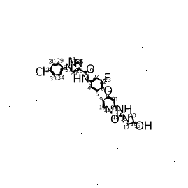 O=C(Nc1ccc(Oc2ccnc(NC(=O)N3CC(O)C3)c2)c(F)c1)c1cn(-c2ccc(Cl)cc2)nn1